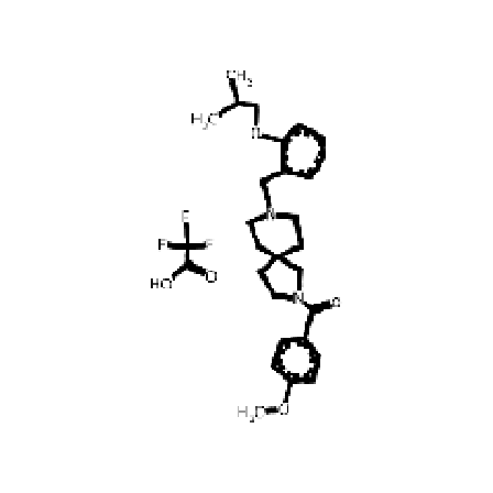 COc1ccc(C(=O)N2CCC3(CCN(Cc4ccccc4OCC(C)C)CC3)C2)cc1.O=C(O)C(F)(F)F